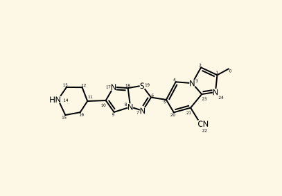 Cc1cn2cc(-c3nn4cc(C5CCNCC5)nc4s3)cc(C#N)c2n1